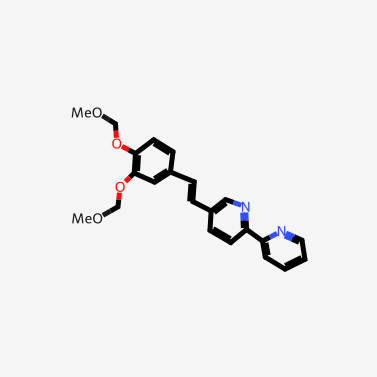 COCOc1ccc(C=Cc2ccc(-c3ccccn3)nc2)cc1OCOC